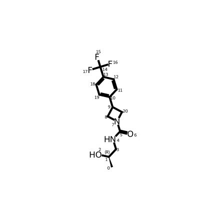 C[C@@H](O)CNC(=O)N1CC(c2ccc(C(F)(F)F)cc2)C1